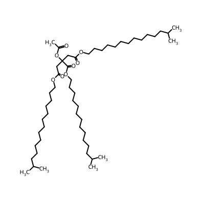 CC(=O)OC(CC(=O)OCCCCCCCCCCCCC(C)C)(CC(=O)OCCCCCCCCCCCCC(C)C)C(=O)OCCCCCCCCCCCCC(C)C